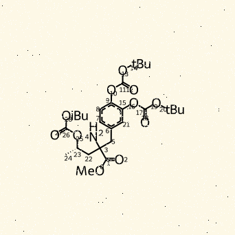 COC(=O)C(N)(Cc1ccc(OC(=O)OC(C)(C)C)c(OC(=O)OC(C)(C)C)c1)C[C@H](C)OC(=O)OCC(C)C